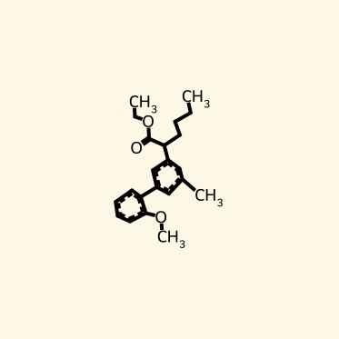 CCCCC(C(=O)OCC)c1cc(C)cc(-c2ccccc2OC)c1